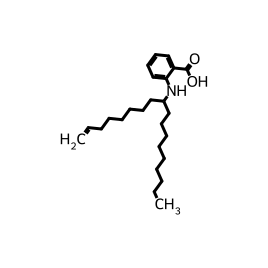 C=CCCCCCCC(CCCCCCCCC)Nc1ccccc1C(=O)O